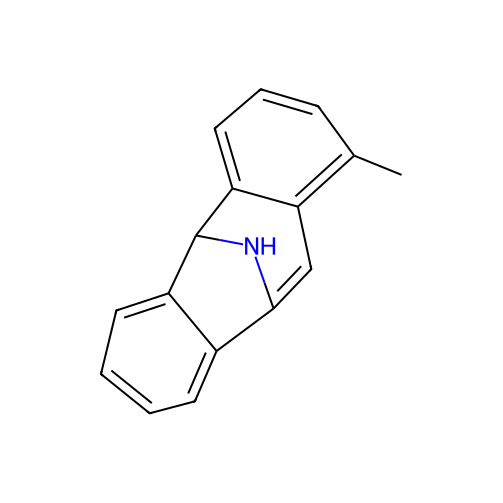 Cc1cccc2c1C=C1NC2c2ccccc21